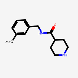 COc1cccc(CNC(=O)C2CCNCC2)c1